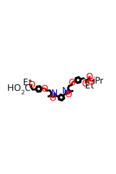 CCO[C@@H](Cc1ccc(OCCc2nc(-c3cccc(-c4nc(CCOc5ccc(C[C@H](OCC)C(=O)OC(C)C)cc5)c(C)o4)c3)oc2C)cc1)C(=O)O